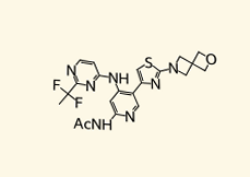 CC(=O)Nc1cc(Nc2ccnc(C(C)(F)F)n2)c(-c2csc(N3CC4(COC4)C3)n2)cn1